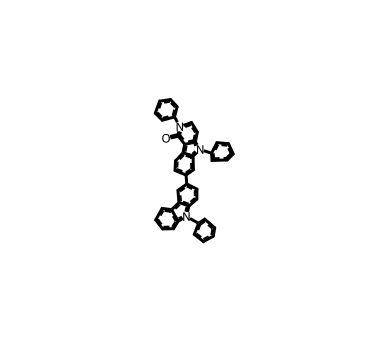 O=c1c2c3ccc(-c4ccc5c(c4)c4ccccc4n5-c4ccccc4)cc3n(-c3ccccc3)c2ccn1-c1ccccc1